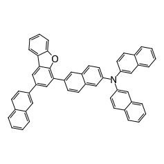 c1ccc2cc(-c3cc(-c4ccc5cc(N(c6ccc7ccccc7c6)c6ccc7ccccc7c6)ccc5c4)c4oc5ccccc5c4c3)ccc2c1